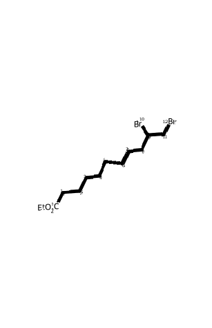 CCOC(=O)CCCCCCCCC(Br)CBr